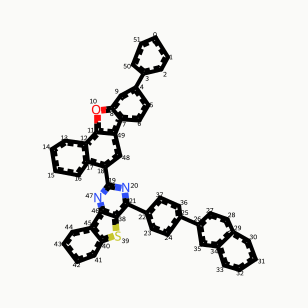 c1ccc(-c2ccc3c(c2)oc2c4ccccc4c(-c4nc(-c5ccc(-c6ccc7ccccc7c6)cc5)c5sc6ccccc6c5n4)cc32)cc1